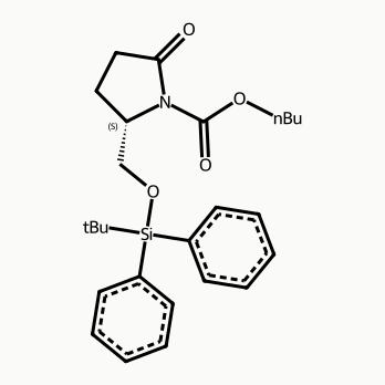 CCCCOC(=O)N1C(=O)CC[C@H]1CO[Si](c1ccccc1)(c1ccccc1)C(C)(C)C